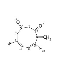 C=C1C(=O)CC(=O)C/C(F)=C\C=C/1F